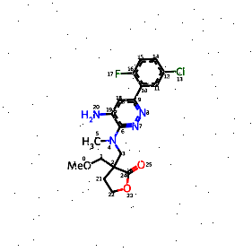 COCC1(CN(C)c2nnc(-c3cc(Cl)ccc3F)cc2N)CCOC1=O